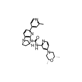 Cc1cc(-c2ccc3c(n2)N(C(=O)Nc2cc(N4C[C@@H](C)O[C@@H](C)C4)ccn2)[C@H]2CCN3C2)ccn1